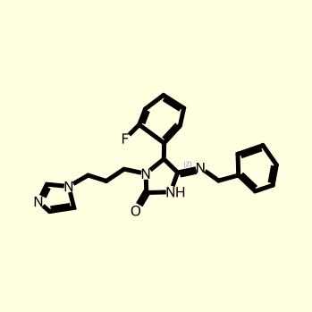 O=C1N/C(=N\Cc2ccccc2)C(c2ccccc2F)N1CCCn1ccnc1